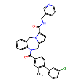 Cc1cc(C(=O)N2Cc3ccc(C(=O)NCc4cccnc4)n3Cc3ccccc32)ccc1-c1cccc(Cl)c1